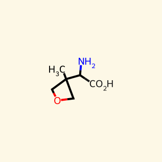 CC1(C(N)C(=O)O)COC1